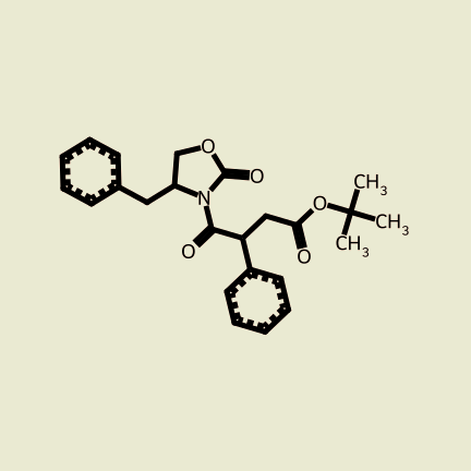 CC(C)(C)OC(=O)CC(C(=O)N1C(=O)OCC1Cc1ccccc1)c1ccccc1